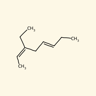 CC=C(CC)CC=CCC